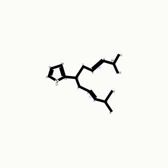 CC(C)/C=C/CC(C/C=C/C(C)C)c1cccs1